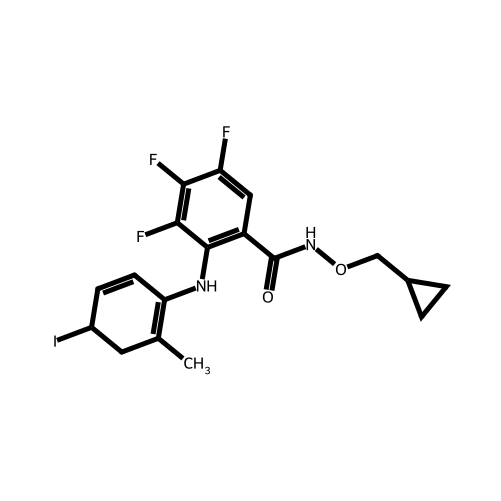 CC1=C(Nc2c(C(=O)NOCC3CC3)cc(F)c(F)c2F)C=CC(I)C1